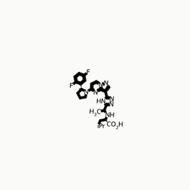 CC(C)C[C@H](NC(C)c1nnc(-c2cnn3ccc(N4CCC[C@@H]4c4cc(F)ccc4F)nc23)[nH]1)C(=O)O